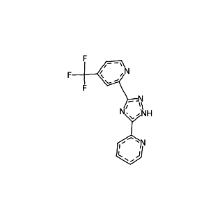 FC(F)(F)c1ccnc(-c2n[nH]c(-c3ccccn3)n2)c1